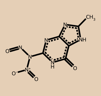 Cc1nc2nc(N(N=O)[N+](=O)[O-])[nH]c(=O)c2[nH]1